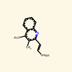 CCCCCCCC=Cc1nc2ccccc2c(OC(C)=O)c1C